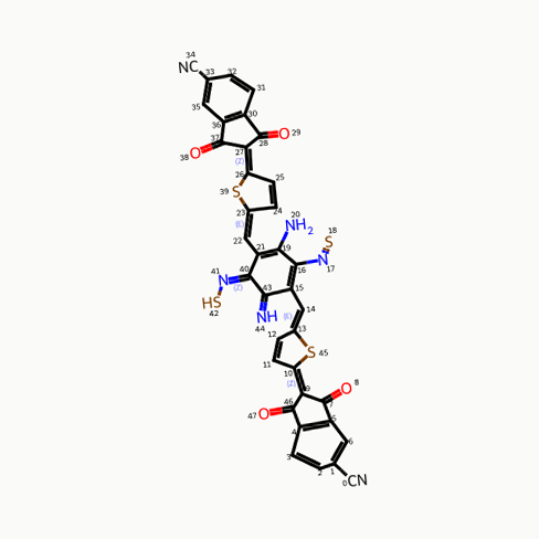 N#Cc1ccc2c(c1)C(=O)/C(=c1/cc/c(=C\C3=C(N=S)C(N)=C(/C=c4\cc/c(=C5\C(=O)c6ccc(C#N)cc6C5=O)s4)/C(=N/S)C3=N)s1)C2=O